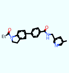 CCC(=O)N1CCc2cc(-c3ccc(C(=O)NCc4cncc(C)c4)cc3)ccc21